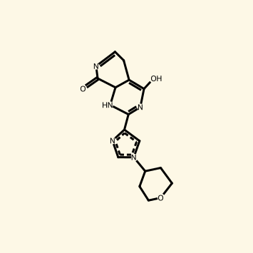 O=C1N=CCC2=C(O)N=C(c3cn(C4CCOCC4)cn3)NC12